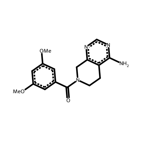 COc1cc(OC)cc(C(=O)N2CCc3c(N)ncnc3C2)c1